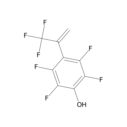 C=C(c1c(F)c(F)c(O)c(F)c1F)C(F)(F)F